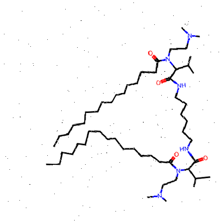 CCCCCCCCCCCCCCCC(=O)N(CCN(C)C)C(C(=O)NCCCCCCNC(=O)C(C(C)C)N(CCN(C)C)C(=O)CCCCCCCCCCCCCCC)C(C)C